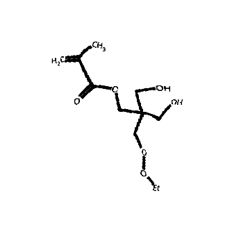 C=C(C)C(=O)OCC(CO)(CO)COOCC